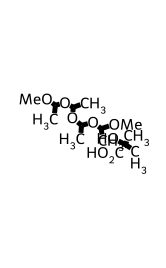 CC(C)(O)C(=O)O.COC(C)OC(C)OC(C)OC(C)OC